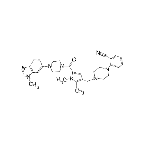 Cc1c(CN2CCN(c3ccccc3C#N)CC2)cc(C(=O)N2CCN(c3ccc4ncn(C)c4c3)CC2)n1C